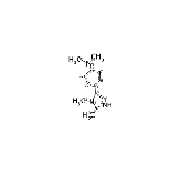 C=C1NC=C(c2ccc(N(C)C)cc2)N1C